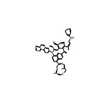 C=C\C(=C/C(=C\C)C(/C(=C)c1ccccc1)=C(\C=C/C=C\C)C(/C)=C\CNC1=CCCC=C1)N(c1ccc(/C2=C/C=C(\C)CC/C=C\C(C)=C\C2)cc1)c1ccc2c(ccc3ccccc32)c1